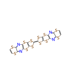 c1csc2nc3sc4c(sc3nc2s1)SC(=C1Sc2sc3nc5sccsc5nc3sc2S1)S4